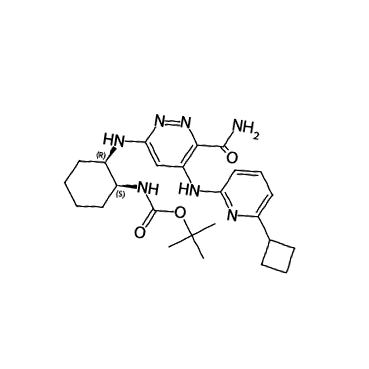 CC(C)(C)OC(=O)N[C@H]1CCCC[C@H]1Nc1cc(Nc2cccc(C3CCC3)n2)c(C(N)=O)nn1